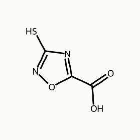 O=C(O)c1nc(S)no1